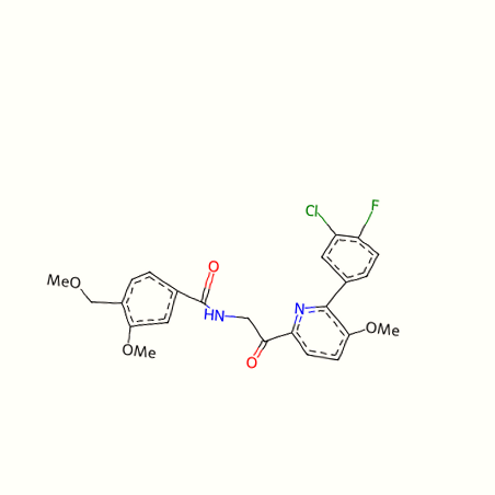 COCc1ccc(C(=O)NCC(=O)c2ccc(OC)c(-c3ccc(F)c(Cl)c3)n2)cc1OC